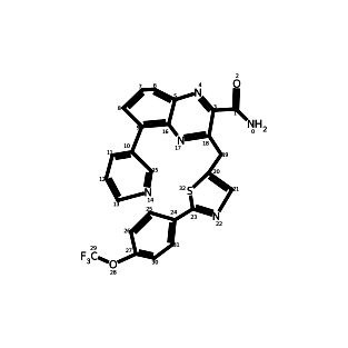 NC(=O)c1nc2cccc(-c3cccnc3)c2nc1Cc1cnc(-c2ccc(OC(F)(F)F)cc2)s1